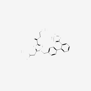 CCCC(=O)c1nc(CC(C)C)n(Cc2ccc(-c3ccccc3-c3nnn[nH]3)cc2)n1